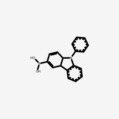 OB(O)C1=CC2c3ccccc3N(c3ccccc3)C2C=C1